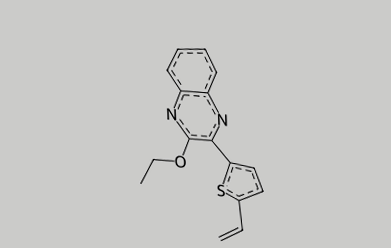 C=Cc1ccc(-c2nc3ccccc3nc2OCC)s1